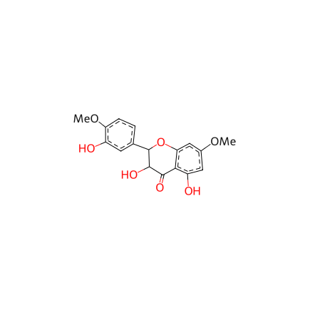 COc1cc(O)c2c(c1)OC(c1ccc(OC)c(O)c1)C(O)C2=O